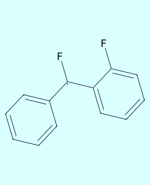 F[C](c1ccccc1)c1ccccc1F